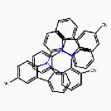 N#Cc1ccc2c(c1)c1ccccc1n2-c1cccc2c3cc(C#N)ccc3n(-c3c(C#N)cccc3-c3ccccc3-n3c4ccccc4c4ccccc43)c12